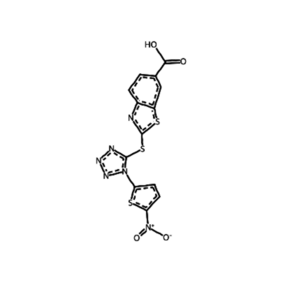 O=C(O)c1ccc2nc(Sc3nnnn3-c3ccc([N+](=O)[O-])s3)sc2c1